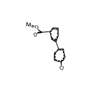 COC(=O)c1[c]ccc(-c2ccc(Cl)cc2)c1